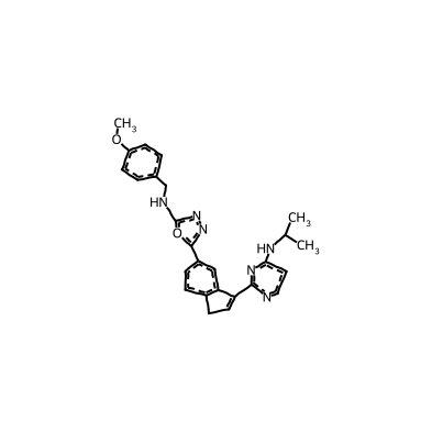 COc1ccc(CNc2nnc(-c3ccc4c(c3)C(c3nccc(NC(C)C)n3)=CC4)o2)cc1